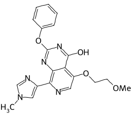 COCCOc1cnc(-c2cn(C)cn2)c2nc(Oc3ccccc3)nc(O)c12